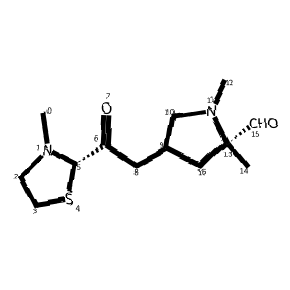 CN1CCS[C@H]1C(=O)CC1CN(C)[C@](C)(C=O)C1